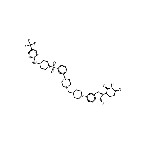 O=C1CCC(N2Cc3cc(N4CCC(CN5CCN(c6cccc(S(=O)(=O)N7CCC(Nc8ncc(C(F)(F)F)cn8)CC7)c6)CC5)CC4)ccc3C2=O)C(=O)N1